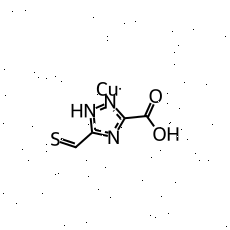 O=C(O)c1n[nH]c(C=S)n1.[Cu]